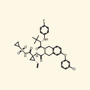 C=C[C@@H]1C[C@]1(NC(=O)[C@@H]1Cc2cc(Oc3cccc(Cl)c3)ccc2CN1C(=O)[C@@H](Nc1ccc(F)cc1)C(C)(C)C)C(=O)NS(=O)(=O)C1CC1